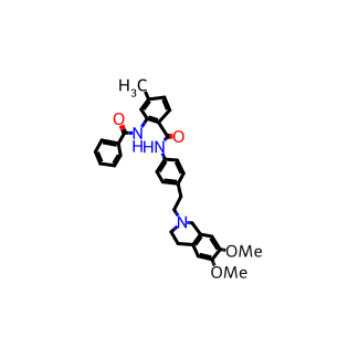 COc1cc2c(cc1OC)CN(CCc1ccc(NC(=O)c3ccc(C)cc3NC(=O)c3ccccc3)cc1)CC2